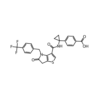 O=C(O)c1ccc(C2(NC(=O)c3csc4c3N(Cc3ccc(C(F)(F)F)cc3)C(=O)C4)CC2)cc1